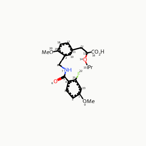 COc1ccc(C(=O)NCc2cc(CC(OC(C)C)C(=O)O)ccc2OC)c(F)c1